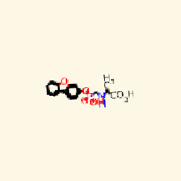 CC(NCP(=O)(O)Oc1ccc2c(c1)oc1ccccc12)C(=O)O